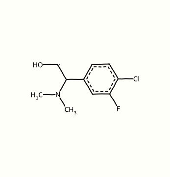 CN(C)C([CH]O)c1ccc(Cl)c(F)c1